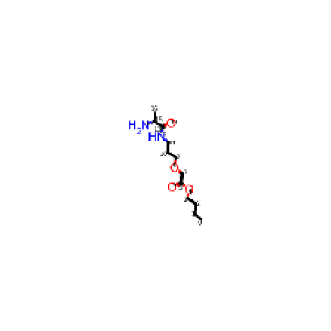 CCCCOC(=O)COCCCNC(=O)C(C)N